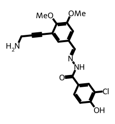 COc1cc(/C=N/NC(=O)c2ccc(O)c(Cl)c2)cc(C#CCN)c1OC